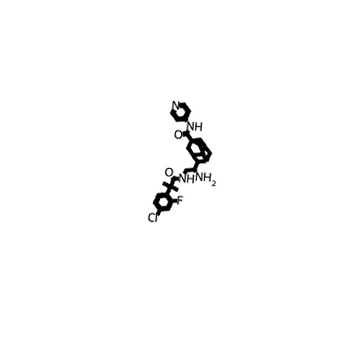 CC(C)(C(=O)NCC(N)C1C2CC3CC1CC(C(=O)Nc1ccncc1)(C3)C2)c1ccc(Cl)cc1F